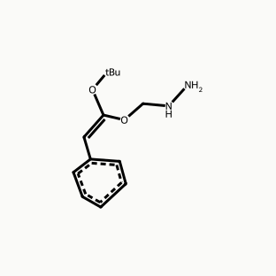 CC(C)(C)OC(=Cc1ccccc1)OCNN